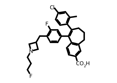 Cc1cc(Cl)ccc1C1=C(c2ccc(CC3CN(CCCF)C3)c(F)c2)c2ccc(C(=O)O)cc2CCC1